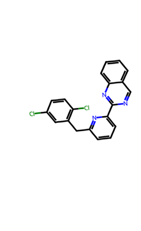 Clc1ccc(Cl)c(Cc2cccc(-c3ncc4ccccc4n3)n2)c1